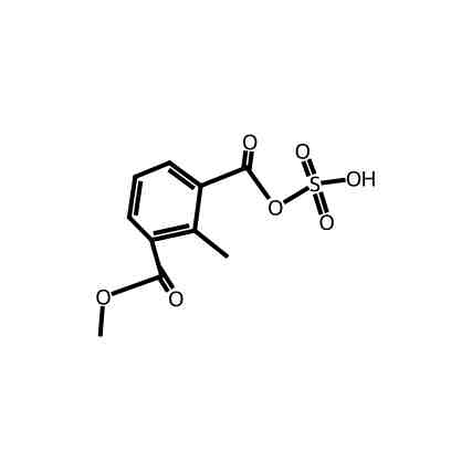 COC(=O)c1cccc(C(=O)OS(=O)(=O)O)c1C